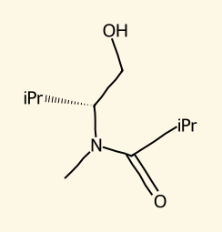 CC(C)C(=O)N(C)[C@@H](CO)C(C)C